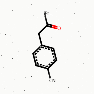 CC(C)C(=O)Cc1ccc(C#N)cc1